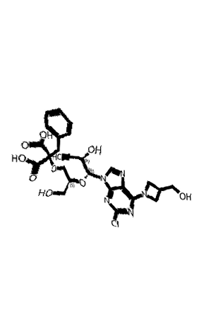 C#C[C@@H](O)[C@@H](O[C@@H](CO)COC(Cc1ccccc1)(C(=O)O)C(=O)O)n1cnc2c(N3CC(CO)C3)nc(Cl)nc21